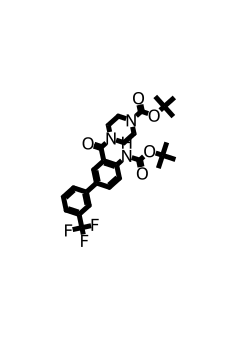 CC(C)(C)OC(=O)Nc1ccc(-c2cccc(C(F)(F)F)c2)cc1C(=O)N1CCN(C(=O)OC(C)(C)C)CC1